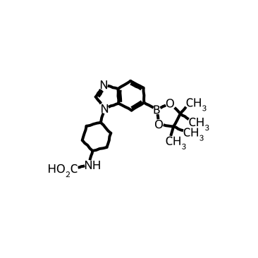 CC1(C)OB(c2ccc3ncn(C4CCC(NC(=O)O)CC4)c3c2)OC1(C)C